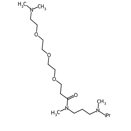 CC(C)N(C)CCCN(C)C(=O)CCOCCOCCOCCN(C)C